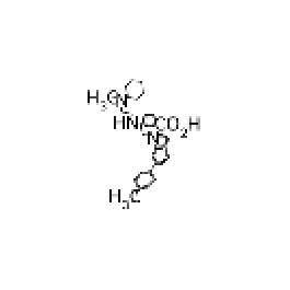 Cc1ccc(-c2ccc3cc(C(=O)O)n(CC(=O)NCCN(C)C4CCCCC4)c3c2)cc1